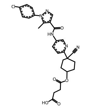 Cc1c(C(=O)Nc2ccc(C3(C#N)CCC(OC(=O)CCC(=O)O)CC3)nc2)cnn1-c1ccc(Cl)cc1